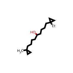 CCC1(CCCCC(O)CCCCC2(C)CC2)CC1